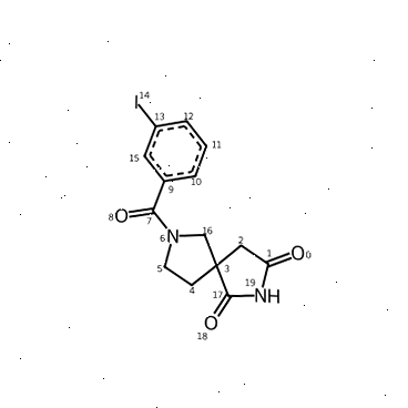 O=C1CC2(CCN(C(=O)c3cccc(I)c3)C2)C(=O)N1